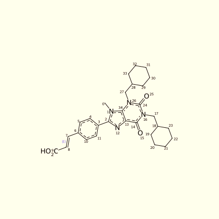 Cn1c(-c2ccc(/C=C/C(=O)O)cc2)nc2c(=O)n(CC3CCCCC3)c(=O)n(CC3CCCCC3)c21